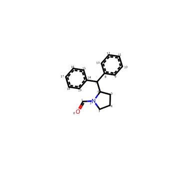 O=CN1CCCC1C(c1ccccc1)c1ccccc1